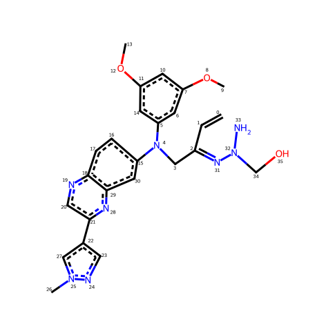 C=C/C(CN(c1cc(OC)cc(OC)c1)c1ccc2ncc(-c3cnn(C)c3)nc2c1)=N\N(N)CO